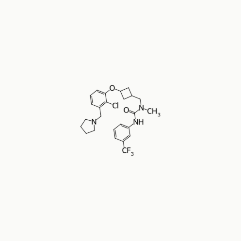 CN(CC1CC(Oc2cccc(CN3CCCC3)c2Cl)C1)C(=O)Nc1cccc(C(F)(F)F)c1